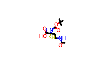 CC(=O)NCCC(S)(NC(=O)OC(C)(C)C)C(=O)O